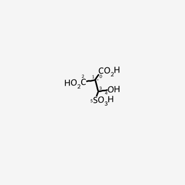 O=C(O)[C](C(=O)O)C(O)S(=O)(=O)O